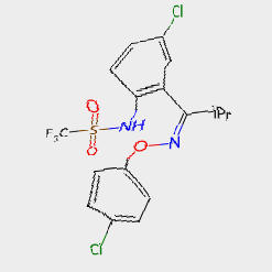 CC(C)/C(=N/Oc1ccc(Cl)cc1)c1cc(Cl)ccc1NS(=O)(=O)C(F)(F)F